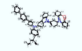 C#C/C(=C\C=C/C)c1ccc(N(C2=CCC3C(=C2)C2=C(CCC=C2)N3C2=CC=CC(N3C4=C(CCC=C4)Oc4ccccc43)C2)c2ccc(-c3ccc(-c4ccccc4)cc3)cc2)cc1